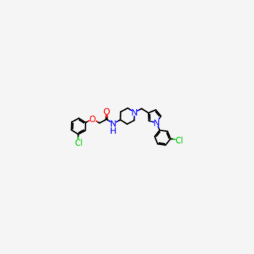 O=C(COc1cccc(Cl)c1)NC1CCN(Cc2ccn(-c3cccc(Cl)c3)c2)CC1